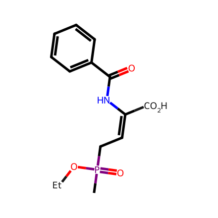 CCOP(C)(=O)C/C=C(\NC(=O)c1ccccc1)C(=O)O